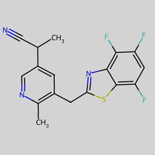 Cc1ncc(C(C)C#N)cc1Cc1nc2c(F)c(F)cc(F)c2s1